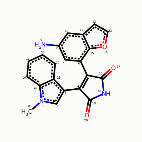 Cn1cc(C2=C(c3cc(N)cc4ccoc34)C(=O)NC2=O)c2ccccc21